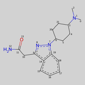 CN(C)C1CCC(n2nc(CC(N)=O)c3ccccc32)CC1